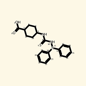 O=C(O)C1CCC(NC(=S)NN(c2ccccc2)c2ccccc2)CC1